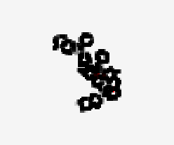 CC1C=CC2=CCC(N(C3=CC=C(CC(c4ccc(N(C5=CC=CCC5)c5ccc6c(c5)CCCC6C)cc4)C45CCC(N(C6=CC(C)C7C=CC=CC7=C6)c6ccccc6)=CC4C5)CC3)c3ccccc3)C=C2C1